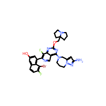 Nc1cc2n(n1)CCCN(c1nc(OCC34CCCN3CCC4)nc3c(F)c(-c4cc(O)cc5ccc(F)c(Br)c45)ncc13)C2